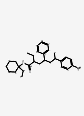 CCC(CC(CC(C)c1ccc(O)cc1)c1ccccc1)C(=O)OC1(CC)CCCCC1